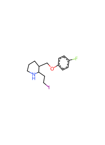 Fc1ccc(OCC2CCCNC2CCI)cc1